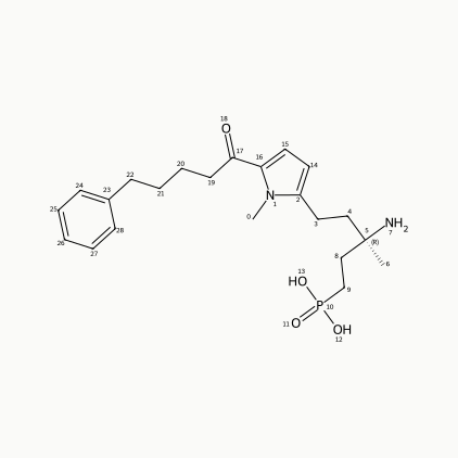 Cn1c(CC[C@@](C)(N)CCP(=O)(O)O)ccc1C(=O)CCCCc1ccccc1